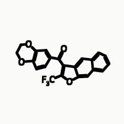 O=C(c1ccc2c(c1)OCCO2)c1c(C(F)(F)F)oc2cc3ccccc3cc12